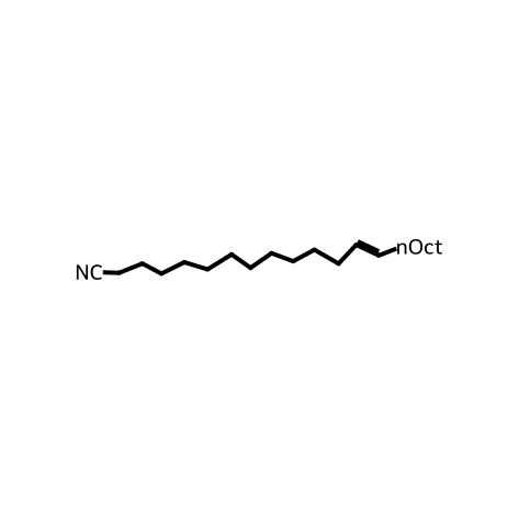 CCCCCCCCC=CCCCCCCCCCCCC#N